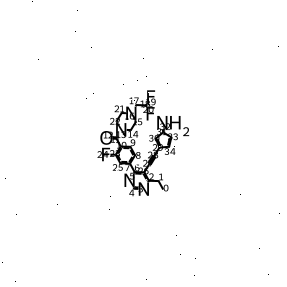 CCc1ncnc(-c2ccc(C(=O)N3CCN(CC(F)F)CC3)c(F)c2)c1C#CC1=CC(N)C=C1